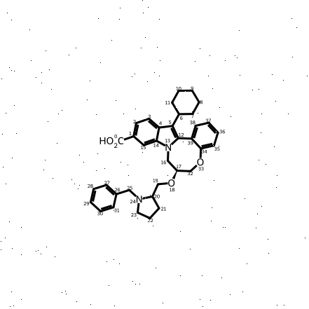 O=C(O)c1ccc2c(C3CCCCC3)c3n(c2c1)C[C@H](OCC1CCCN1Cc1ccccc1)COc1ccccc1-3